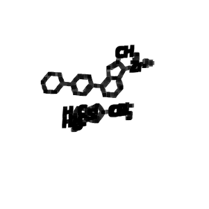 CC1=C2c3occc3C1[Si]2(C)C.CC1=Cc2c(-c3ccc(C4CCCCC4)cc3)cccc2[CH]1[Zr+2].[Cl-].[Cl-]